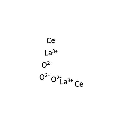 [Ce].[Ce].[La+3].[La+3].[O-2].[O-2].[O-2]